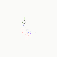 CC1SC2Cn3cc(C(=O)NCc4ccc(F)cc4F)c(=O)c(O)c3C(=O)N2C1C